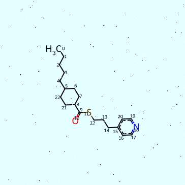 CCCCCC1CCC(C(=O)SCCCc2ccncc2)CC1